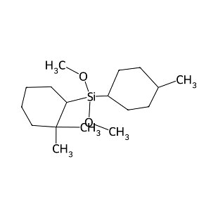 CO[Si](OC)(C1CCC(C)CC1)C1CCCCC1(C)C